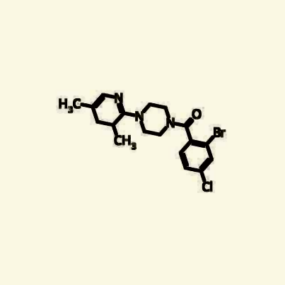 CC1=CN=C(N2CCN(C(=O)c3ccc(Cl)cc3Br)CC2)C(C)C1